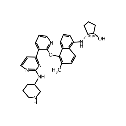 Cc1ccc2c(N[C@@H]3CCC[C@H]3O)cccc2c1Oc1ncccc1-c1ccnc(NC2CCCNC2)n1